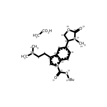 CC(=O)O.CN(C)CCc1cn(C(=O)OC(C)(C)C)c2ccc(C3COC(=O)N3C)cc12